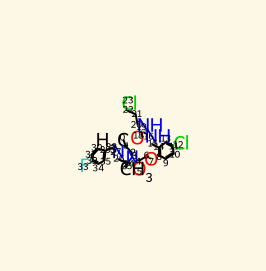 CC1CN(C(=O)COc2ccc(Cl)cc2CNC(=O)NCCCCl)C(C)CN1Cc1ccc(F)cc1